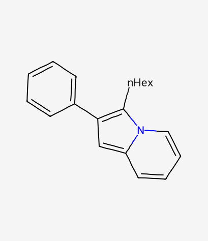 CCCCCCc1c(-c2ccccc2)cc2ccccn12